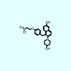 CCN(CC)CCOc1ccc(Cc2c(N3CCC(O)CC3)ccc3cc(O)ccc23)cc1